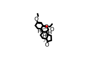 CCOC1=CC2=CC[C@@H]3[C@H](CC[C@]4(C)C(=O)CC[C@@H]34)[C@@]2(COC(C)=O)CC1